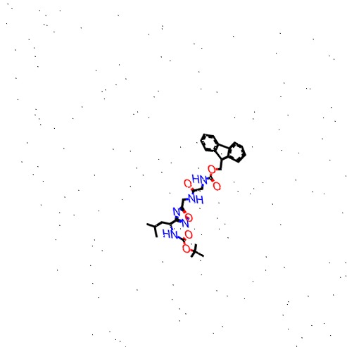 CC(C)CC(NC(=O)OC(C)(C)C)c1noc(CNC(=O)CNC(=O)OCC2c3ccccc3-c3ccccc32)n1